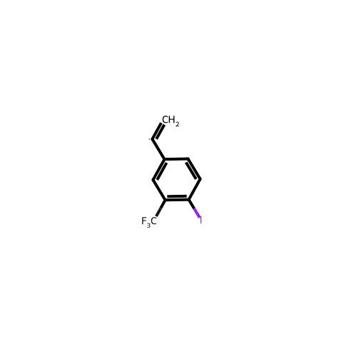 C=[C]c1ccc(I)c(C(F)(F)F)c1